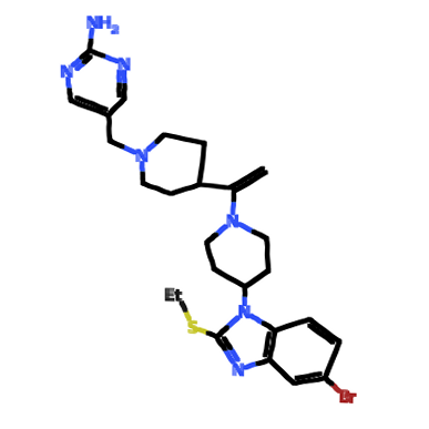 C=C(C1CCN(Cc2cnc(N)nc2)CC1)N1CCC(n2c(SCC)nc3cc(Br)ccc32)CC1